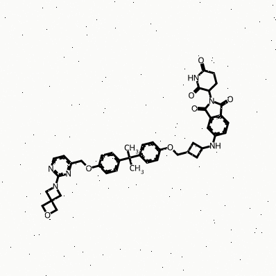 CC(C)(c1ccc(OCc2ccnc(N3CC4(COC4)C3)n2)cc1)c1ccc(OCC2CC(Nc3ccc4c(c3)C(=O)N(C3CCC(=O)NC3=O)C4=O)C2)cc1